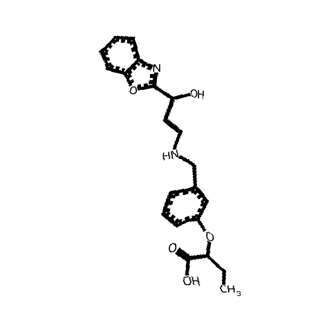 CCC(Oc1cccc(CNCCC(O)c2nc3ccccc3o2)c1)C(=O)O